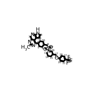 Cc1nc(C2CCC(CS(=O)(=O)N3CCCC(COc4ccc(C(F)(F)F)cc4)C3)CC2)c2c(cnc3[nH]ccc32)n1